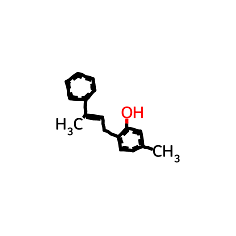 C/C(=C\Cc1ccc(C)cc1O)c1ccccc1